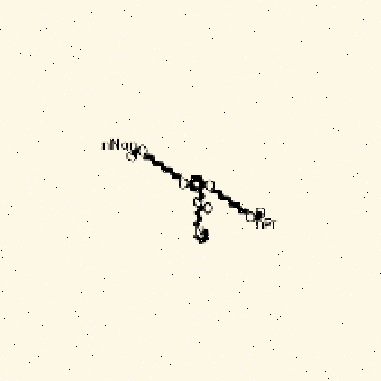 CCCCCCCCCC(=O)OCCCCCCCCOc1ccc(OCCCCCCCCOC(=O)CCC)c(COC(=O)CCCN2CCCC2)c1